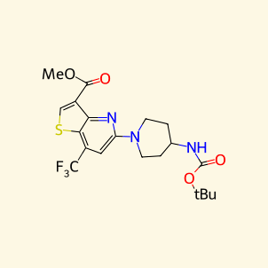 COC(=O)c1csc2c(C(F)(F)F)cc(N3CCC(NC(=O)OC(C)(C)C)CC3)nc12